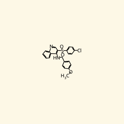 COc1ccc(CNc2c(S(=O)(=O)c3ccc(Cl)cc3)cnc3ccccc23)cc1